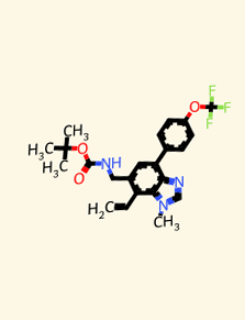 C=Cc1c(CNC(=O)OC(C)(C)C)cc(-c2ccc(OC(F)(F)F)cc2)c2ncn(C)c12